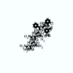 N=C(N)NC(NC(=O)C(NC(=N)N)NC(=O)C(NC(=N)N)NC(=O)C(NC(=N)N)NC(=O)C(NC(=O)C(O)N(Cc1c(Cl)cccc1Cl)c1ccc([N+](=O)[O-])cc1C(F)(F)F)c1ccccc1)C(N)=O